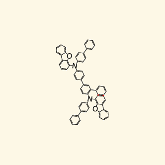 c1ccc(-c2ccc(N(c3ccc(-c4ccc(N(c5ccc(-c6ccccc6)cc5)c5cccc6c5oc5ccccc56)c(-c5ccccc5)c4)cc3)c3cccc4c3oc3ccccc34)cc2)cc1